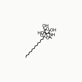 CCCCCCCCCCCCCC(=O)O[C@H]1[C@H](O)[C@@H](CO)OC(O)[C@@H]1NC(C)=O